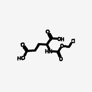 O=C(O)CCC(NC(=O)OCCl)C(=O)O